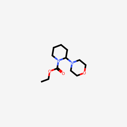 CCOC(=O)N1CCCCC1N1CCOCC1